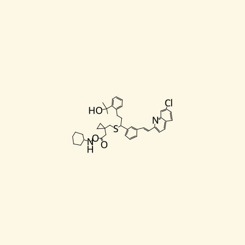 CC(C)(O)c1ccccc1CCC(SCC1(CC(=O)ONC2CCCCC2)CC1)c1cccc(C=Cc2ccc3ccc(Cl)cc3n2)c1